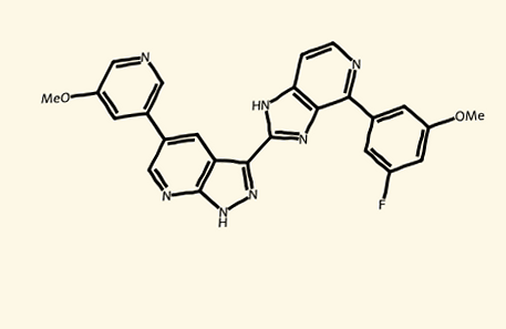 COc1cncc(-c2cnc3[nH]nc(-c4nc5c(-c6cc(F)cc(OC)c6)nccc5[nH]4)c3c2)c1